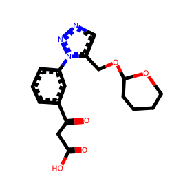 O=C(O)CC(=O)c1cccc(-n2nncc2COC2CCCCO2)c1